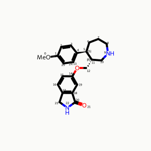 COc1ccc([C@H]2CCCNC[C@@H]2COc2ccc3c(c2)C(=O)NC3)cc1